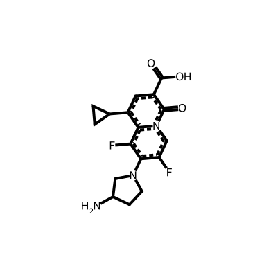 NC1CCN(c2c(F)cn3c(=O)c(C(=O)O)cc(C4CC4)c3c2F)C1